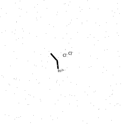 C[CH2][In+2].[Cl-].[Cl-]